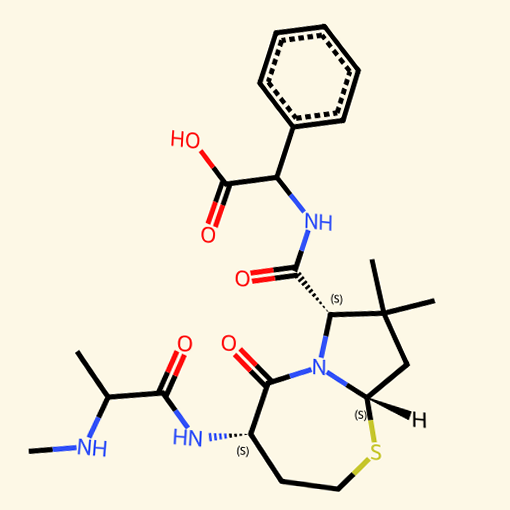 CNC(C)C(=O)N[C@H]1CCS[C@H]2CC(C)(C)[C@@H](C(=O)NC(C(=O)O)c3ccccc3)N2C1=O